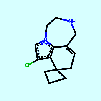 Clc1cn2c3c1C1(CC=C3CNCC2)CCC1